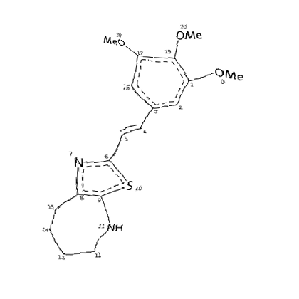 COc1cc(C=Cc2nc3c(s2)NCCCC3)cc(OC)c1OC